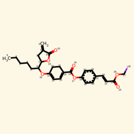 C=C1CC(C(CCCCC)OC2=CC=C(C(=O)Oc3ccc(/C=C/C(=O)OCI)cc3)CC2)OC1=O